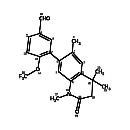 Cc1cc2c(cc1-c1cc(C=O)ccc1OC(F)(F)F)N(C)C(=O)CC2(C)C